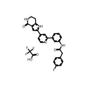 O=C(Cc1ccc(F)cc1)Nc1cccc(-c2cc(-c3cc4c([nH]3)CCNC4=O)ccn2)c1.O=C(O)C(F)(F)F